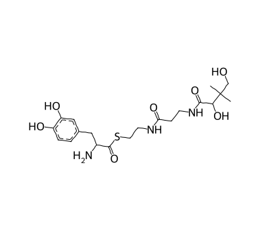 CC(C)(CO)C(O)C(=O)NCCC(=O)NCCSC(=O)C(N)Cc1ccc(O)c(O)c1